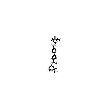 CC(C)C1(C)CC(OC(=O)c2ccc(-c3ccc(C(=O)OC4CC(C)(C)NC(C)(C(C)C)C4)cc3)cc2)CC(C)(C)N1